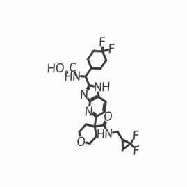 O=C(O)NC(c1nc2nc(C3(C(=O)NCC4CC4(F)F)CCOCC3)ccc2[nH]1)C1CCC(F)(F)CC1